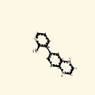 CC(C)c1ncccc1-c1cnc2nccnc2c1